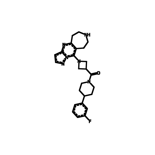 O=C(C1CN(c2c3c(nc4ccnn24)CCNCC3)C1)N1CCC(c2cccc(F)c2)CC1